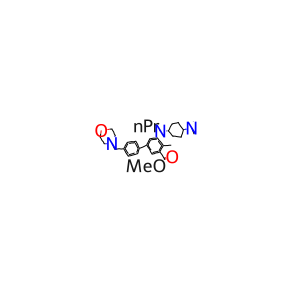 CCCN(c1cc(-c2ccc(CN3CCOCC3)cc2)cc(C(=O)OC)c1C)[C@H]1CC[C@H](N(C)C)CC1